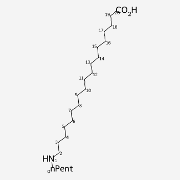 CCCCCNCCCCCCCCCCCCCCCCCCC(=O)O